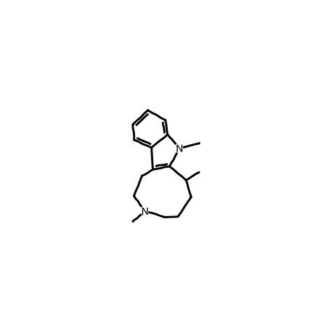 CC1CCCN(C)CCc2c1n(C)c1ccccc21